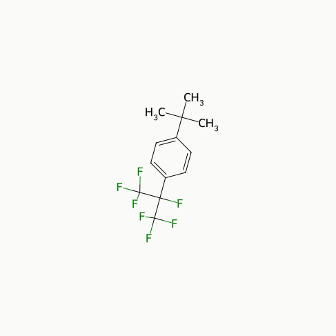 CC(C)(C)c1ccc(C(F)(C(F)(F)F)C(F)(F)F)cc1